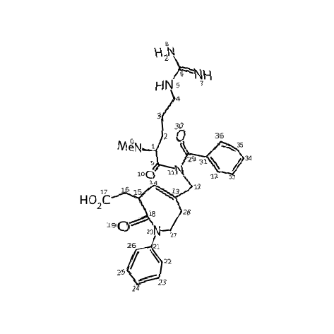 CN[C@@H](CCCNC(=N)N)C(=O)N(CC1=CC(CC(=O)O)C(=O)N(c2ccccc2)CC1)C(=O)c1ccccc1